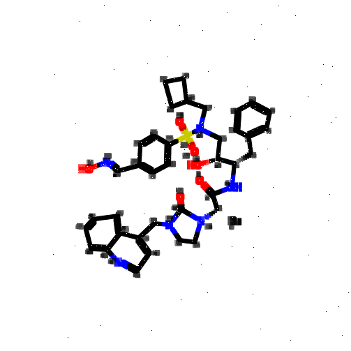 CC[C@H](C)[C@@H](C(=O)N[C@@H](Cc1ccccc1)[C@H](O)CN(CC1CCC1)S(=O)(=O)c1ccc(C=NO)cc1)N1CCN(Cc2ccnc3ccccc23)C1=O